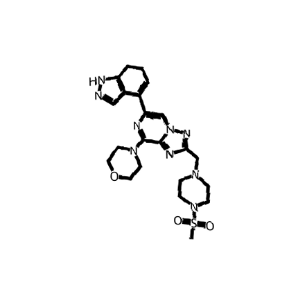 CS(=O)(=O)N1CCN(Cc2nc3c(N4CCOCC4)nc(C4=CCCc5[nH]ncc54)cn3n2)CC1